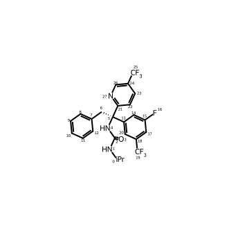 CC(C)NC(=O)N[C@](Cc1ccccc1)(c1cc(F)cc(C(F)(F)F)c1)c1ccc(C(F)(F)F)cn1